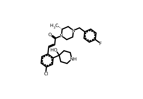 C[C@@H]1CN(Cc2ccc(F)cc2)CCN1C(=O)/C=C/c1ccc(Cl)cc1C1(O)CCNCC1